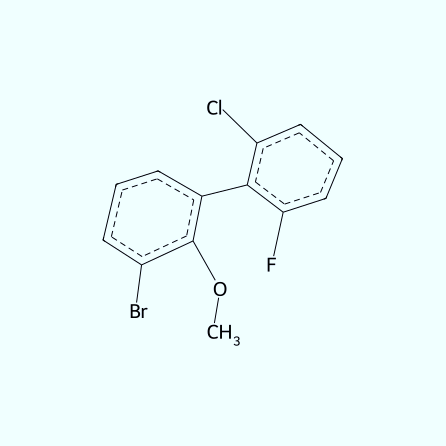 COc1c(Br)cccc1-c1c(F)cccc1Cl